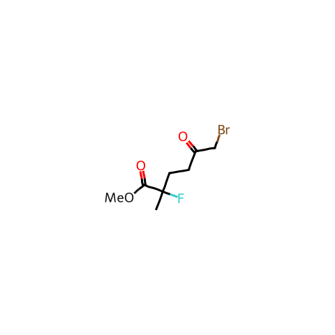 COC(=O)C(C)(F)CCC(=O)CBr